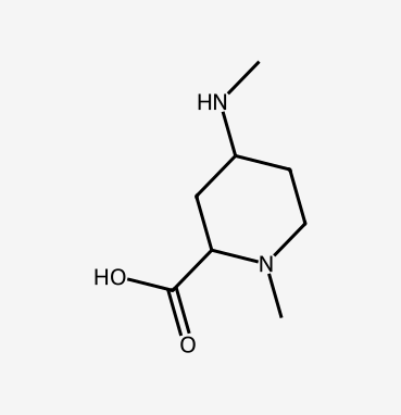 CNC1CCN(C)C(C(=O)O)C1